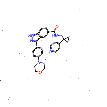 O=C(NCC1(c2ccncc2)CC1)c1ccc2[nH]nc(-c3ccc(N4CCOCC4)cc3)c2c1